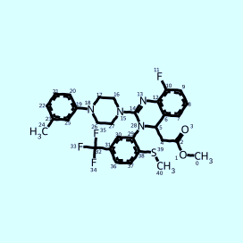 COC(=O)CC1c2cccc(F)c2N=C(N2CCN(c3cccc(C)c3)CC2)N1c1cc(C(F)(F)F)ccc1SC